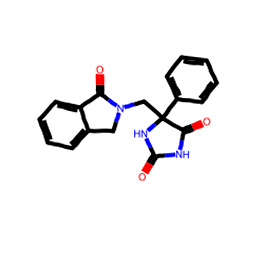 O=C1NC(=O)C(CN2Cc3ccccc3C2=O)(c2ccccc2)N1